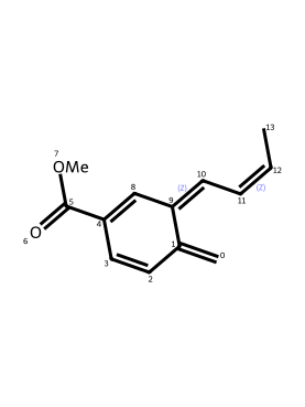 C=c1ccc(C(=O)OC)c/c1=C/C=C\C